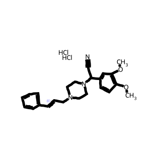 COc1ccc(C(C#N)N2CCN(C/C=C/c3ccccc3)CC2)cc1OC.Cl.Cl